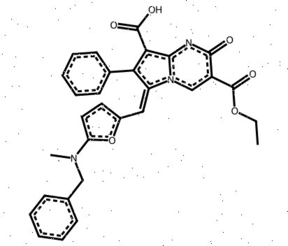 CCOC(=O)c1cn2/c(=C/c3ccc(N(C)Cc4ccccc4)o3)c(-c3ccccc3)c(C(=O)O)c2nc1=O